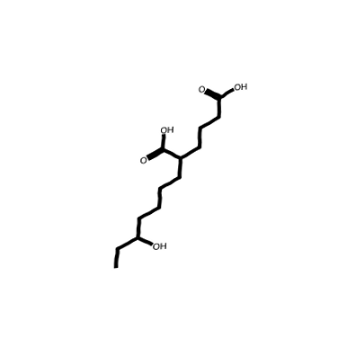 CCC(O)CCCCC(CCCC(=O)O)C(=O)O